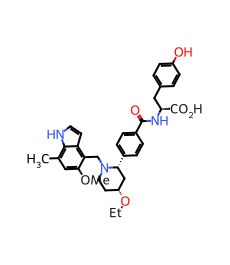 CCO[C@@H]1CCN(Cc2c(OC)cc(C)c3[nH]ccc23)[C@H](c2ccc(C(=O)N[C@@H](Cc3ccc(O)cc3)C(=O)O)cc2)C1